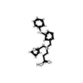 O=C(O)CCN(Cc1cccc(Sc2ccccc2)c1)Cc1ccco1